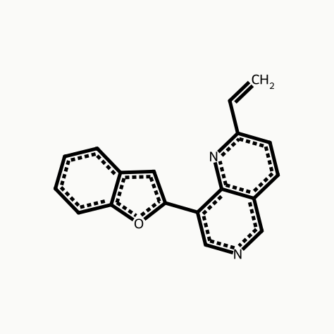 C=Cc1ccc2cncc(-c3cc4ccccc4o3)c2n1